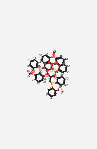 COc1ccccc1P(CC(CC(CP(c1ccccc1OC)c1ccccc1OC)CP(c1ccccc1OC)c1ccccc1OC)CP(c1ccccc1OC)c1ccccc1OC)c1ccccc1OC